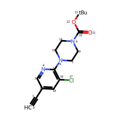 C#Cc1cnc(N2CCN(C(=O)OC(C)(C)C)CC2)c(Cl)c1